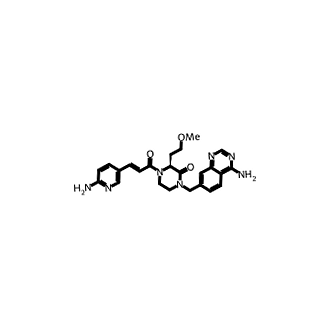 COCC[C@H]1C(=O)N(Cc2ccc3c(N)ncnc3c2)CCN1C(=O)C=Cc1ccc(N)nc1